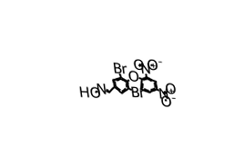 O=[N+]([O-])c1ccc(Oc2c(Br)cc(C=NO)cc2Br)c([N+](=O)[O-])c1